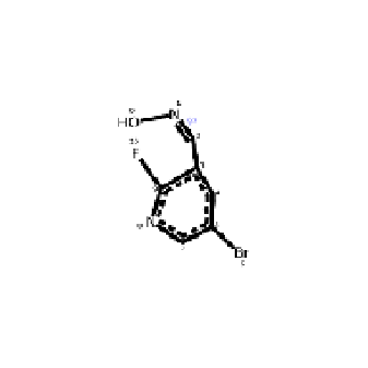 O/N=C\c1cc(Br)cnc1F